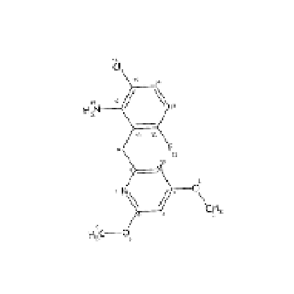 COc1cc(OC)nc(Cc2c(F)ccc(Cl)c2N)n1